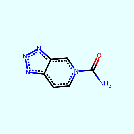 NC(=O)n1ccc2nnnc-2c1